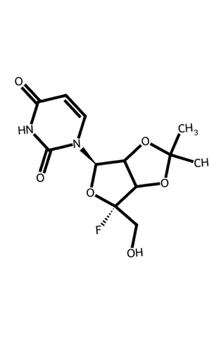 CC1(C)OC2C(O1)[C@@](F)(CO)O[C@H]2n1ccc(=O)[nH]c1=O